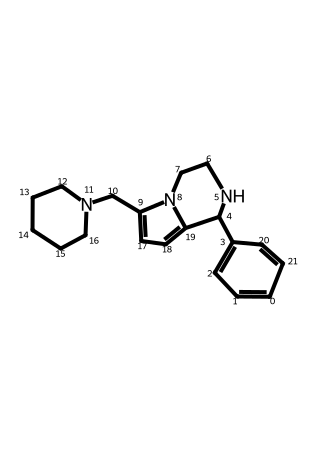 c1ccc(C2NCCn3c(CN4CCCCC4)ccc32)cc1